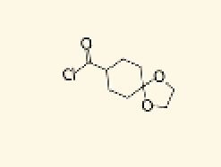 O=C(Cl)C1CCC2(CC1)OCCO2